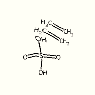 C=C.C=C.O=S(=O)(O)O